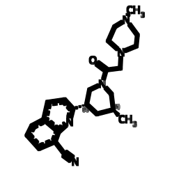 C[C@H]1C[C@H](c2ccc3cccc(C#N)c3n2)CN(C(=O)CN2CCN(C)CC2)C1